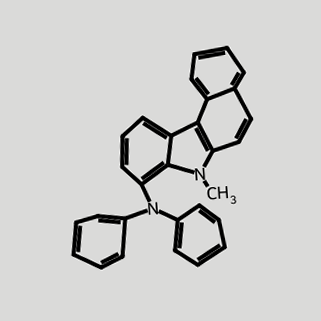 Cn1c2ccc3ccccc3c2c2cccc(N(c3ccccc3)c3ccccc3)c21